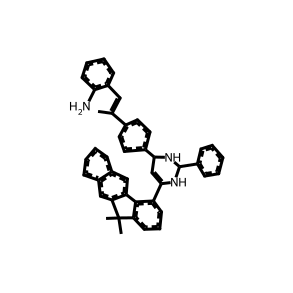 C/C(=C\c1ccccc1N)c1ccc(C2C=C(c3cccc4c3-c3cc5ccccc5cc3C4(C)C)NC(c3ccccc3)N2)cc1